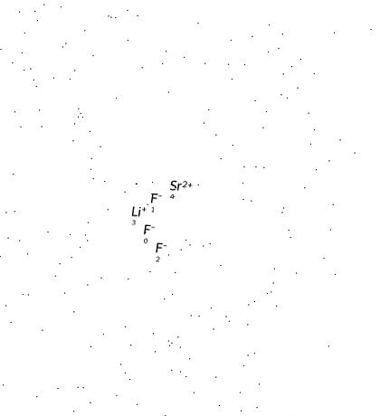 [F-].[F-].[F-].[Li+].[Sr+2]